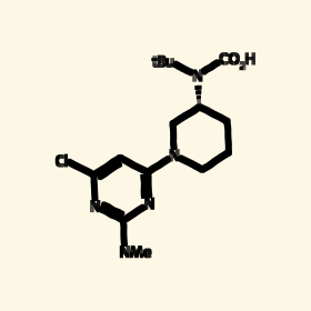 CNc1nc(Cl)cc(N2CCC[C@@H](N(C(=O)O)C(C)(C)C)C2)n1